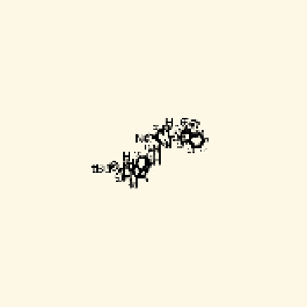 CC(C)(C)OC(=O)N[C@@H]1[C@@H]2CC3C[C@H]1C[C@@](CNc1nc(NCc4ccccc4S(C)(=O)=O)ncc1C#N)(C3)C2